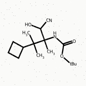 CC(C)(C)OC(=O)NC(C)(C(O)C#N)C(C)(C)C1CCC1